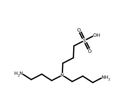 NCCCN(CCCN)CCCS(=O)(=O)O